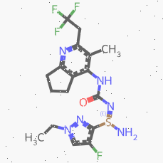 CCn1cc(F)c(/S(N)=N\C(=O)Nc2c(C)c(CC(F)(F)F)nc3c2CCC3)n1